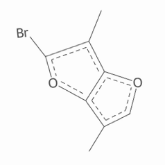 Cc1coc2c(C)c(Br)oc12